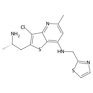 Cc1cc(NCc2nccs2)c2sc(C[C@H](C)N)c(Cl)c2n1